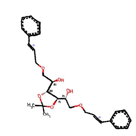 CC1(C)O[C@H]([C@H](O)COC/C=C/c2ccccc2)[C@@H]([C@H](O)COC/C=C/c2ccccc2)O1